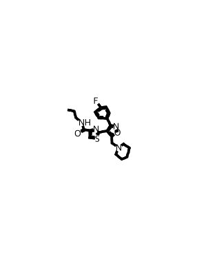 CCCNC(=O)c1csc(-c2c(-c3ccc(F)cc3)noc2CN2CCCCC2)n1